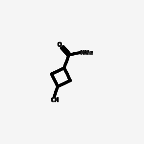 CNC(=O)C1CC(C#N)C1